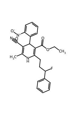 CCOC(=O)C1=C(CCC(F)c2ccccc2)NC(C)=C(C#N)C1c1ccccc1[N+](=O)[O-]